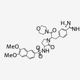 COc1cc2ccc(S(=O)(=O)NC3CCN(C(Cc4ccc(C(=N)N)cc4)C(=O)N4CCOCC4)C3=O)cc2cc1OC